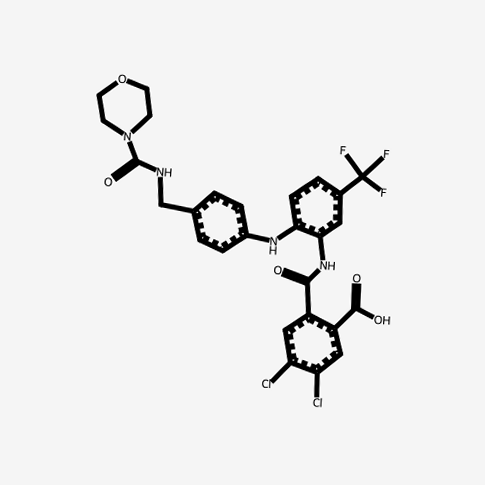 O=C(O)c1cc(Cl)c(Cl)cc1C(=O)Nc1cc(C(F)(F)F)ccc1Nc1ccc(CNC(=O)N2CCOCC2)cc1